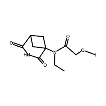 CCN(C(=O)COI)C12CC(C1)C(=O)NC2=O